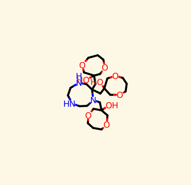 OC1(CN2CCNCCNCC2(CC2(O)COCCCOC2)CC2(O)COCCCOC2)COCCCOC1